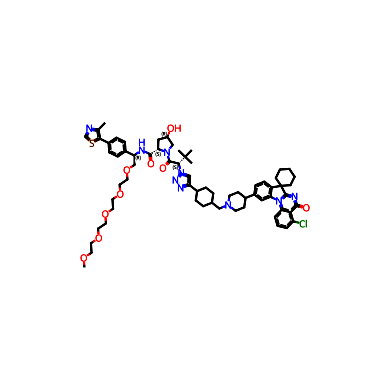 COCCOCCOCCOCCOC[C@H](NC(=O)[C@@H]1C[C@@H](O)CN1C(=O)[C@@H](n1cc(C2CCC(CN3CCC(c4ccc5c(c4)-n4c(nc(=O)c6c(Cl)cccc64)C54CCCCC4)CC3)CC2)nn1)C(C)(C)C)c1ccc(-c2scnc2C)cc1